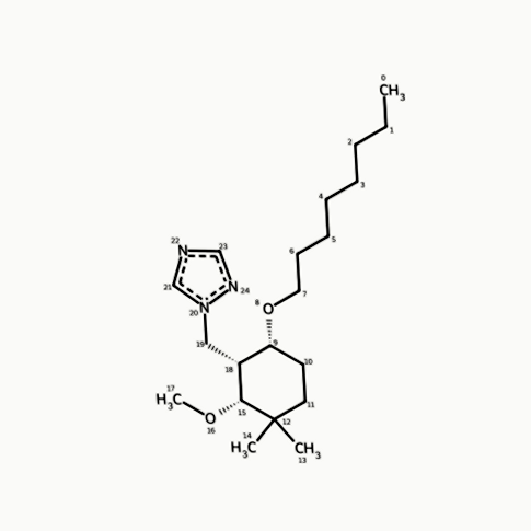 CCCCCCCCO[C@@H]1CCC(C)(C)[C@H](OC)[C@@H]1Cn1cncn1